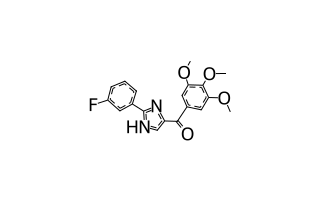 COc1cc(C(=O)c2c[nH]c(-c3cccc(F)c3)n2)cc(OC)c1OC